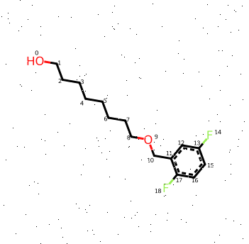 OCCCCCCCCOCc1cc(F)ccc1F